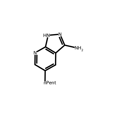 CCCCCc1cnc2[nH]nc(N)c2c1